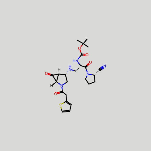 CC(C)(C)OC(=O)N[C@@H](CN[C@@H]1CN(C(=O)Cc2cccs2)[C@@H]2C(=O)[C@H]21)C(=O)N1CCC[C@H]1C#N